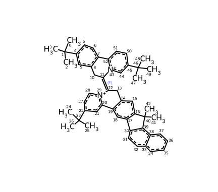 CC(C)(C)c1ccc2c(c1)C/C(=C1/Cc3cc4c(cc3-c3cc(C(C)(C)C)cc[n+]31)-c1ccc3ccccc3c1C4(C)C)[n+]1cc(C(C)(C)C)ccc1-2